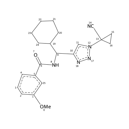 COc1cccc(C(=O)NC(c2cn(C3(C#N)CC3)nn2)C2CCCCC2)c1